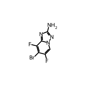 Nc1nc2c(F)c(Br)c(F)cn2n1